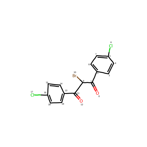 O=C(c1ccc(Cl)cc1)C(Br)C(=O)c1ccc(Cl)cc1